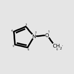 [CH2]On1cccc1